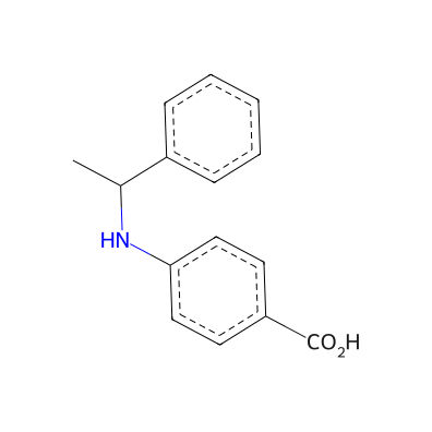 CC(Nc1ccc(C(=O)O)cc1)c1ccccc1